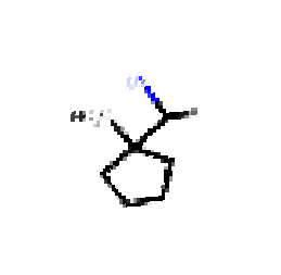 CCC(N)C1(C(=O)O)CCCC1